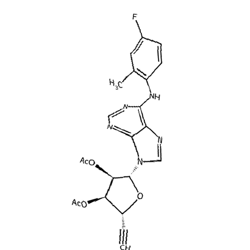 C#C[C@H]1O[C@@H](n2cnc3c(Nc4ccc(F)cc4C)ncnc32)[C@H](OC(C)=O)[C@@H]1OC(C)=O